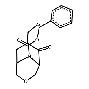 CC(=O)CC1CC2COCC(C1=O)N2C(=O)OCc1ccccc1